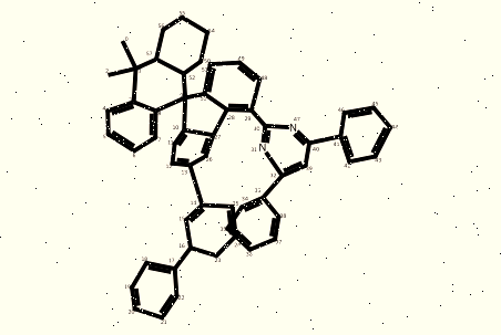 CC1(C)c2ccccc2C2(c3ccc(C4=CC(c5ccccc5)CC=C4)cc3-c3c(-c4nc(-c5ccccc5)cc(-c5ccccc5)n4)cccc32)C2CCCCC21